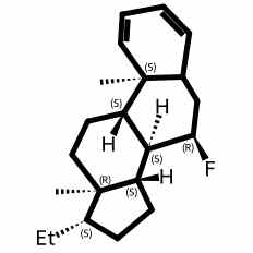 CC[C@H]1CC[C@H]2[C@@H]3[C@H](F)CC4C=CC=C[C@]4(C)[C@H]3CC[C@]12C